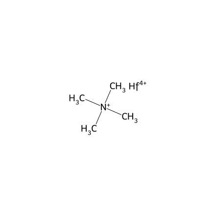 C[N+](C)(C)C.[Hf+4]